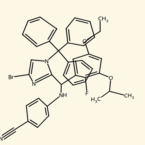 CCOc1cc(OC(C)C)c(F)c(C(Nc2ccc(C#N)cc2)c2nc(Br)cn2C(c2ccccc2)(c2ccccc2)c2ccccc2)c1